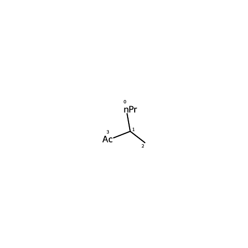 CCCC(C)C(C)=O